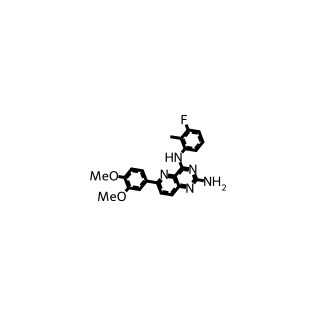 COc1ccc(-c2ccc3nc(N)nc(Nc4cccc(F)c4C)c3n2)cc1OC